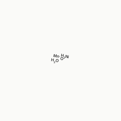 O.O.[Mn].[Ni]